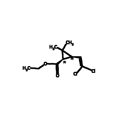 CCOC(=O)[C@@H]1[C@H](C=C(Cl)Cl)C1(C)C